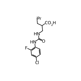 CC(C)CC(CNC(=O)Nc1ccc(Cl)cc1F)C(=O)O